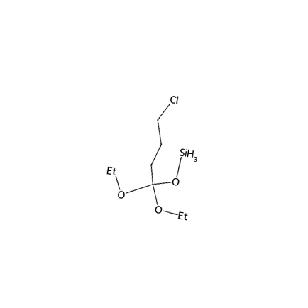 CCOC(CCCCl)(O[SiH3])OCC